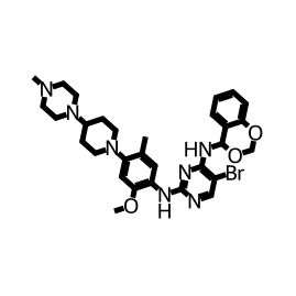 COc1cc(N2CCC(N3CCN(C)CC3)CC2)c(C)cc1Nc1ncc(Br)c(NC2OCOc3ccccc32)n1